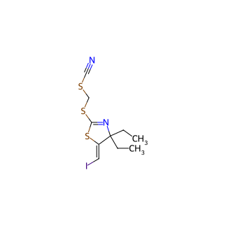 CCC1(CC)N=C(SCSC#N)S/C1=C\I